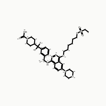 CCS(=O)(=O)OCCCCCCOc1nnc(N[C@H](C)c2cccc(C(F)(F)C3CCN(C(=O)O)CC3)c2)c2ccc(N3CCOCC3)cc12